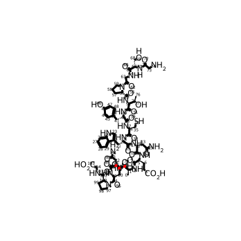 C[C@H](NC(=O)[C@H](CCC(=O)O)NC(=O)[C@H](CC(N)=O)NC(=O)[C@H](Cc1c[nH]c2ccccc12)NC(=O)[C@H](CS)NC(=O)[C@H](Cc1ccc(O)cc1)NC(=O)[C@@H](NC(=O)[C@@H]1CCCN1C(=O)CNC(=O)[C@H](CO)NC(=O)CN)[C@@H](C)O)C(=O)N[C@@H](CC(N)=O)C(=O)N[C@@H](CC(N)=O)C(=O)N1CCC[C@H]1C(=O)NCC(=O)O